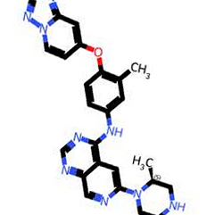 Cc1cc(Nc2ncnc3cnc(N4CCNC[C@@H]4C)cc23)ccc1Oc1ccn2ncnc2c1